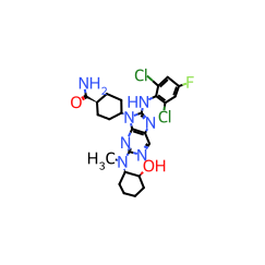 CN(c1ncc2nc(Nc3c(Cl)cc(F)cc3Cl)n([C@H]3CC[C@H](C(N)=O)CC3)c2n1)[C@H]1CCCC[C@@H]1O